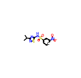 CC(C)c1nsc(NS(=O)(=O)c2cccc([N+](=O)[O-])c2)n1